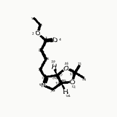 CCOC(=O)CCCC1=NC[C@H]2OC(C)(C)O[C@@H]12